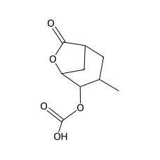 CC1CC2CC(OC2=O)C1OC(=O)O